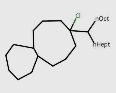 CCCCCCCCC(CCCCCCC)C1(Cl)CCCC2CCCCCC2CCC1